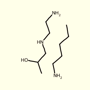 CC(O)CNCCN.CCCCCN